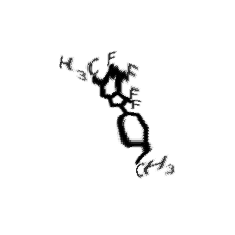 CCCC1CCC(C2Cc3cc(CC)c(F)c(F)c3C2(F)F)CC1